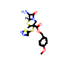 COc1ccc(COC(=O)C2(Sc3cnns3)CN3C(=O)C(N)[C@H]3SC2C)cc1